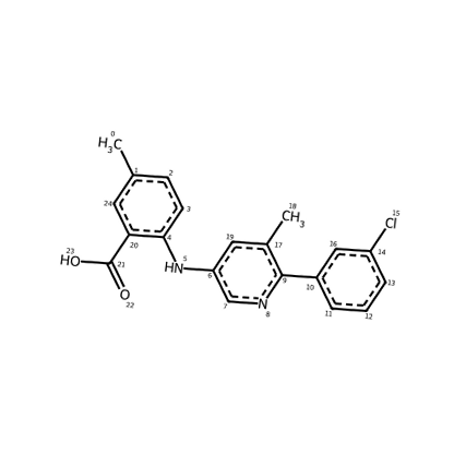 Cc1ccc(Nc2cnc(-c3cccc(Cl)c3)c(C)c2)c(C(=O)O)c1